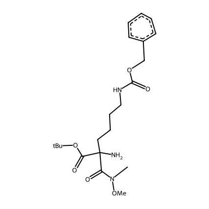 CON(C)C(=O)C(N)(CCCCNC(=O)OCc1ccccc1)C(=O)OC(C)(C)C